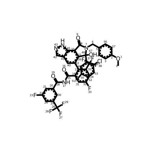 COc1ccc(CN2C(=O)c3c(c(-c4c(C(=O)NC(=O)c5cc(F)cc(C(F)(F)F)c5)cc(F)cc4C(F)(F)F)cc4cn[nH]c34)C2(O)c2cc(F)ccc2Cl)cc1